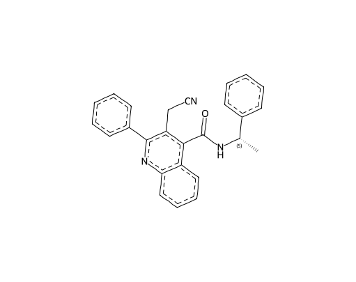 C[C@H](NC(=O)c1c(CC#N)c(-c2ccccc2)nc2ccccc12)c1ccccc1